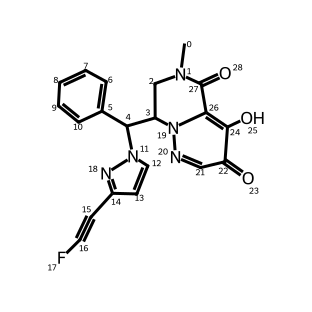 CN1CC(C(c2ccccc2)n2ccc(C#CF)n2)n2ncc(=O)c(O)c2C1=O